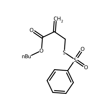 C=C(CSS(=O)(=O)c1ccccc1)C(=O)OCCCC